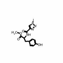 COC(=O)C(Cc1ccc(O)cc1)NC(=O)c1cn(I)nn1